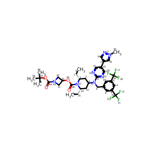 CC[C@@H]1CC(N(Cc2cc(C(F)(F)F)cc(C(F)(F)F)c2)c2ncc(-c3cnn(C)c3)cn2)C[C@H](CC)N1C(=O)OC1CN(C(=O)OC(C)(C)C)C1